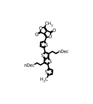 CCCCCCCCCCCCc1c(-c2ccc(C)s2)sc2c(CCCCCCCCCCCC)c(-c3ccc(C4=C5C(=O)OC(C)=C5C(=O)O4)s3)sc12